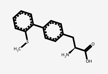 CSc1ccccc1-c1ccc(C[C@H](N)C(=O)O)cc1